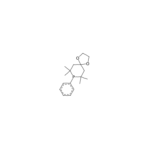 CC1(C)CC2(CC(C)(C)P1c1ccccc1)OCCO2